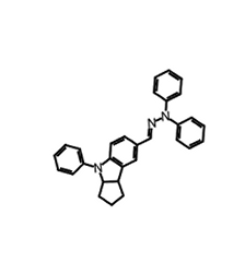 C(=N\N(c1ccccc1)c1ccccc1)/c1ccc2c(c1)C1CCCC1N2c1ccccc1